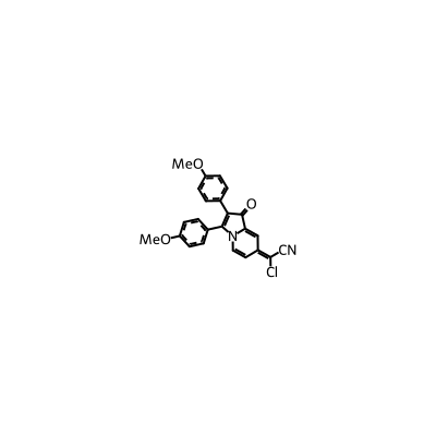 COc1ccc(C2=C(c3ccc(OC)cc3)N3C=C/C(=C(\Cl)C#N)C=C3C2=O)cc1